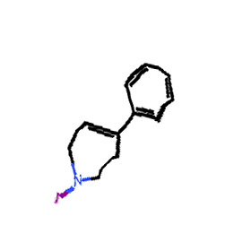 IN1CC=C(c2ccccc2)CC1